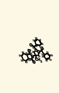 CC(COC(=O)c1ccccc1)(COC(=O)c1ccccc1)N1C(=O)C2CCCCC2C1=O